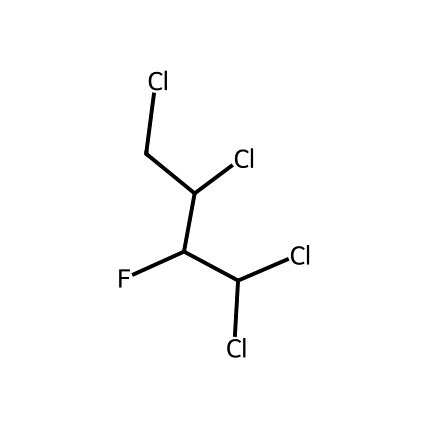 FC(C(Cl)Cl)C(Cl)CCl